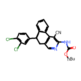 CCCCOC(=O)Nc1ncc2c(c1C#N)-c1ccccc1C(c1ccc(Cl)c(Cl)c1)C2